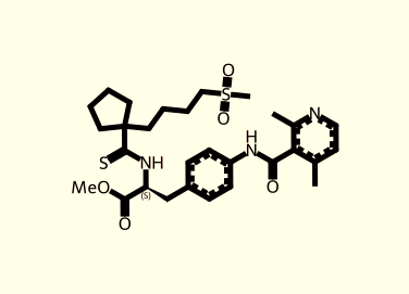 COC(=O)[C@H](Cc1ccc(NC(=O)c2c(C)ccnc2C)cc1)NC(=S)C1(CCCCS(C)(=O)=O)CCCC1